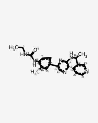 CCNC(=O)Nc1ccc(-c2cncc(NC(C)c3cccnc3)n2)cc1C